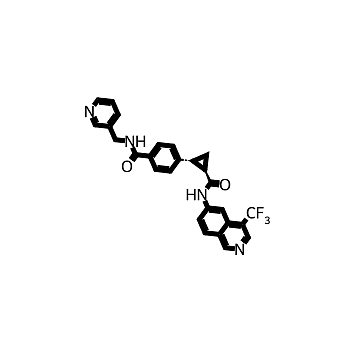 O=C(NCc1cccnc1)c1ccc([C@@H]2C[C@H]2C(=O)Nc2ccc3cncc(C(F)(F)F)c3c2)cc1